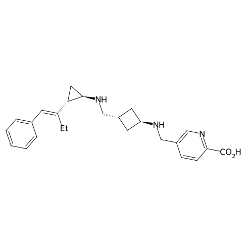 CC/C(=C\c1ccccc1)[C@@H]1C[C@H]1NC[C@H]1C[C@H](NCc2ccc(C(=O)O)nc2)C1